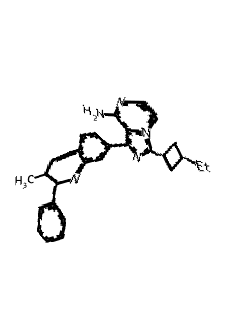 CC[C@H]1C[C@@H](c2nc(-c3ccc4c(c3)=NC(c3ccccc3)C(C)C=4)c3c(N)nccn32)C1